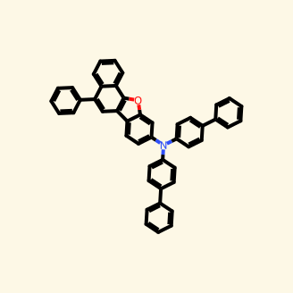 c1ccc(-c2ccc(N(c3ccc(-c4ccccc4)cc3)c3ccc4c(c3)oc3c5ccccc5c(-c5ccccc5)cc43)cc2)cc1